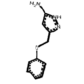 Nc1cc(COc2ccccc2)n[nH]1